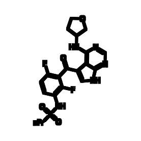 CCCS(=O)(=O)Nc1ccc(F)c(C(=O)c2c[nH]c3ncnc(NC4CCOC4)c23)c1F